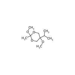 COC1(C)OCC(OC)(C(C)C)CO1